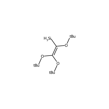 CC(C)(C)OC([SiH3])=C(OC(C)(C)C)OC(C)(C)C